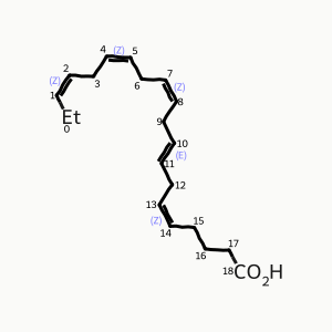 CC/C=C\C/C=C\C/C=C\C/C=C/C/C=C\CCCC(=O)O